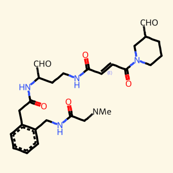 CNCC(=O)NCc1ccccc1CC(=O)NC(C=O)CCNC(=O)/C=C/C(=O)N1CCCC(C=O)C1